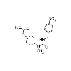 CN(C(=O)NCc1ccc([N+](=O)[O-])cc1)C1CCN(OC(=O)C(F)(F)F)CC1